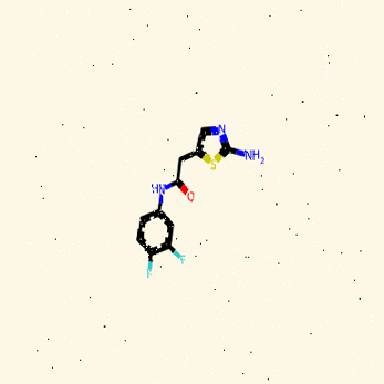 Nc1ncc(CC(=O)Nc2ccc(F)c(F)c2)s1